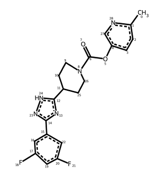 Cc1ccc(OC(=O)N2CCC(c3nc(-c4cc(F)cc(F)c4)n[nH]3)CC2)cn1